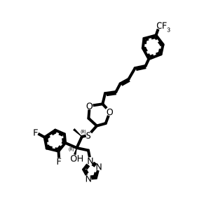 C[C@@H](SC1COC(C=CC=CC=Cc2ccc(C(F)(F)F)cc2)OC1)[C@](O)(Cn1cncn1)c1ccc(F)cc1F